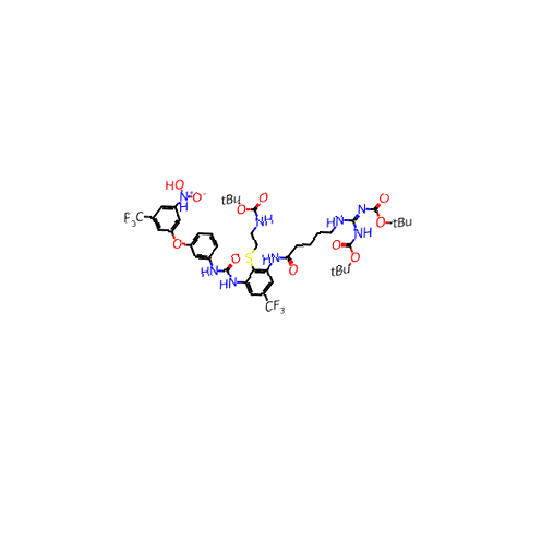 CC(C)(C)OC(=O)N=C(NCCCCC(=O)Nc1cc(C(F)(F)F)cc(NC(=O)Nc2cccc(Oc3cc([NH+]([O-])O)cc(C(F)(F)F)c3)c2)c1SCCNC(=O)OC(C)(C)C)NC(=O)OC(C)(C)C